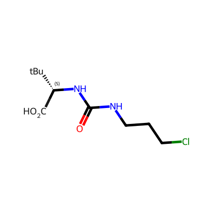 CC(C)(C)[C@H](NC(=O)NCCCCl)C(=O)O